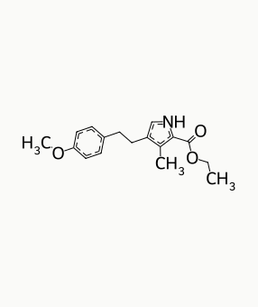 CCOC(=O)c1[nH]cc(CCc2ccc(OC)cc2)c1C